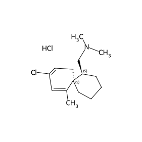 CC1=CC(Cl)=CC[C@]12CCCC[C@@H]2CN(C)C.Cl